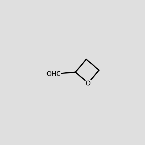 O=[C]C1CCO1